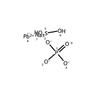 O=P([O-])([O-])[O-].O=S(=O)(O)O.[Na+].[Pb+2]